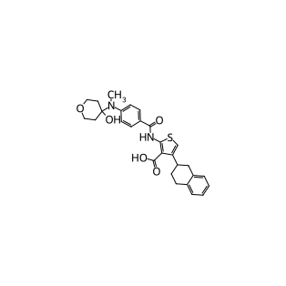 CN(c1ccc(C(=O)Nc2scc(C3CCc4ccccc4C3)c2C(=O)O)cc1)C1(O)CCOCC1